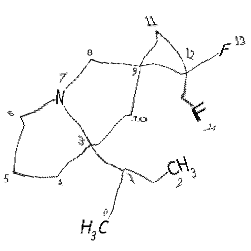 CC(C)C12CCCN1CC1(C2)CC1(F)F